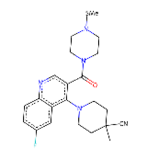 CSN1CCN(C(=O)c2cnc3ccc(F)cc3c2N2CCC(C)(C#N)CC2)CC1